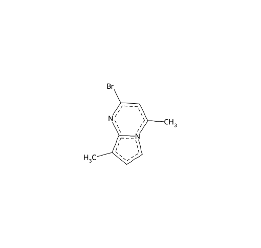 Cc1ccn2c(C)cc(Br)nc12